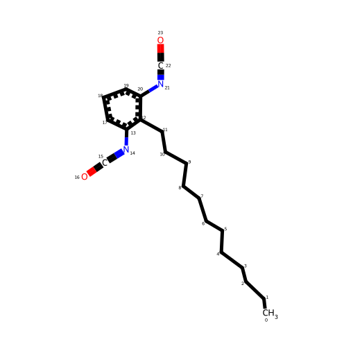 CCCCCCCCCCCCc1c(N=C=O)cccc1N=C=O